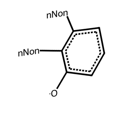 CCCCCCCCCc1cccc([O])c1CCCCCCCCC